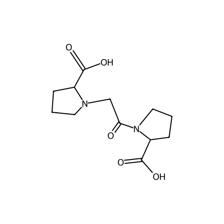 O=C(O)C1CCCN1CC(=O)N1CCCC1C(=O)O